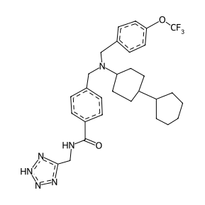 O=C(NCc1nn[nH]n1)c1ccc(CN(Cc2ccc(OC(F)(F)F)cc2)C2CCC(C3CCCCC3)CC2)cc1